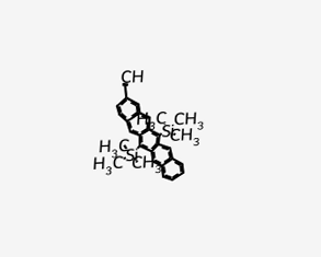 C#Cc1ccc2cc3c([Si](C)(C)C)c4cc5ccccc5cc4c([Si](C)(C)C)c3cc2c1